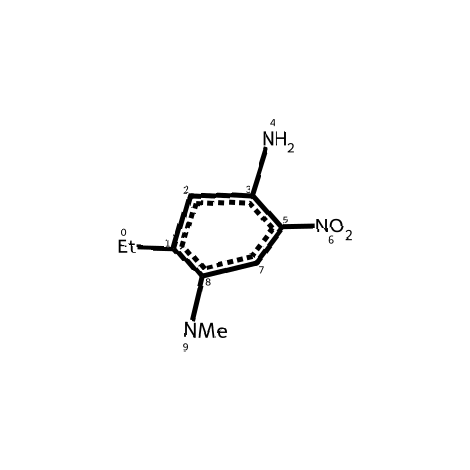 CCc1cc(N)c([N+](=O)[O-])cc1NC